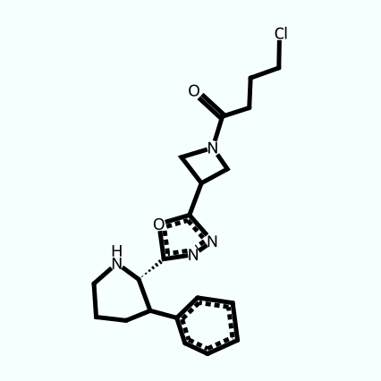 O=C(CCCCl)N1CC(c2nnc([C@H]3NCCCC3c3ccccc3)o2)C1